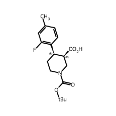 Cc1ccc([C@@H]2CCN(C(=O)OC(C)(C)C)C[C@@H]2C(=O)O)c(F)c1